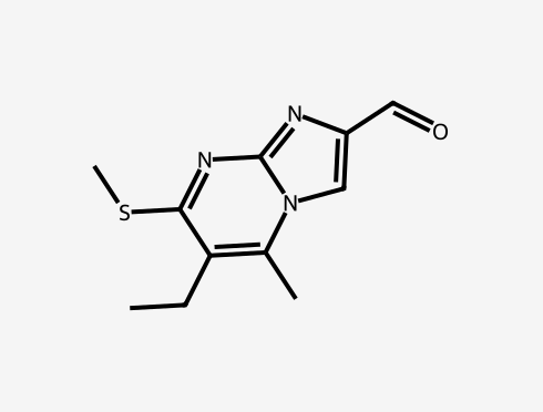 CCc1c(SC)nc2nc(C=O)cn2c1C